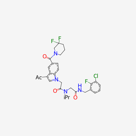 CC(=O)c1cn(CC(=O)N(CC(=O)NCc2cccc(Cl)c2F)C(C)C)c2ccc(C(=O)N3CCCC(F)(F)C3)cc12